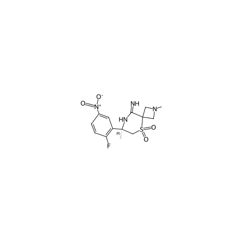 CN1CC2(C1)C(=N)N[C@](C)(c1cc([N+](=O)[O-])ccc1F)CS2(=O)=O